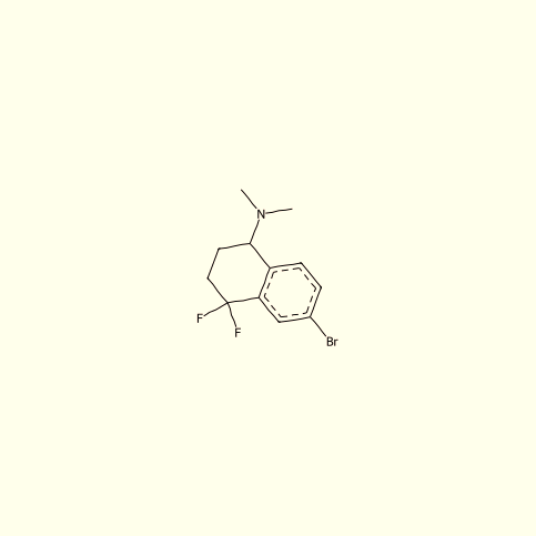 CN(C)C1CCC(F)(F)c2cc(Br)ccc21